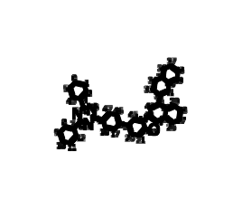 c1ccc(-c2nc(-c3ccccc3)nc(-c3ccc(-c4ccc5oc6c7ccccc7c(-c7ccc8ccccc8c7)cc6c5c4)cc3)n2)cc1